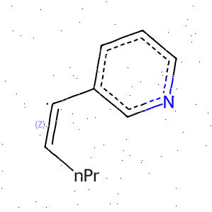 CCC/C=[C]\c1cccnc1